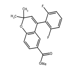 COC(=O)c1ccc2c(c1)C(c1c(F)cccc1F)=CC(C)(C)O2